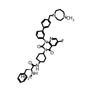 CN1CCCN(Cc2ccc(-c3cccc(-n4c(=O)n(C5CCC(NC(=O)[C@H](Cc6ccccc6)NC(=O)O)CC5)c(=O)c5cc(F)cnc54)c3)cc2)CC1